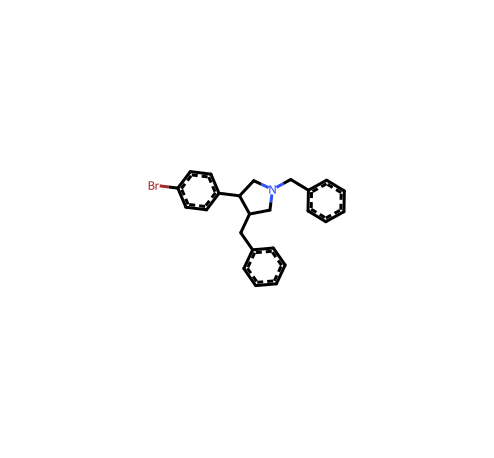 Brc1ccc(C2CN(Cc3ccccc3)CC2Cc2ccccc2)cc1